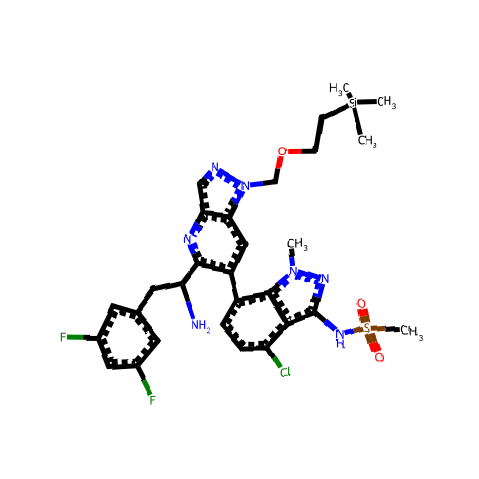 Cn1nc(NS(C)(=O)=O)c2c(Cl)ccc(-c3cc4c(cnn4COCC[Si](C)(C)C)nc3C(N)Cc3cc(F)cc(F)c3)c21